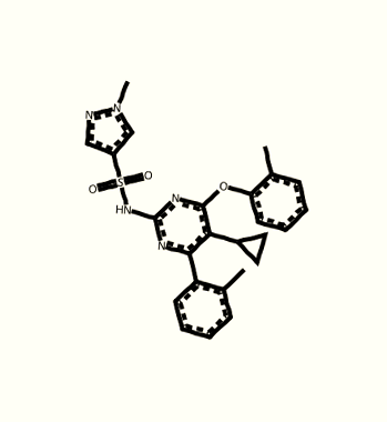 Cc1ccccc1Oc1nc(NS(=O)(=O)c2cnn(C)c2)nc(-c2ccccc2C)c1C1CC1